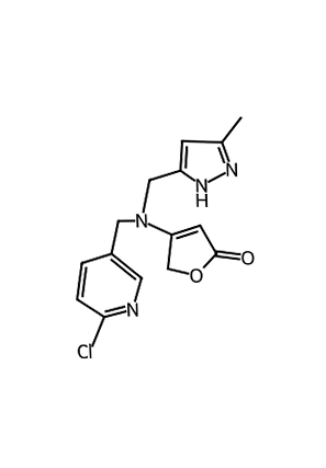 Cc1cc(CN(Cc2ccc(Cl)nc2)C2=CC(=O)OC2)[nH]n1